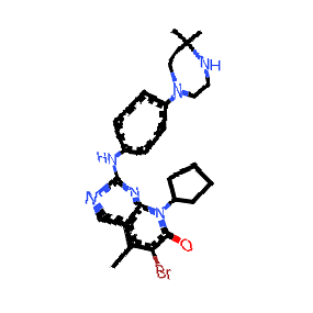 Cc1c(Br)c(=O)n(C2CCCC2)c2nc(Nc3ccc(N4CCNC(C)(C)C4)cc3)ncc12